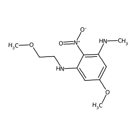 CNc1cc(OC)cc(NCCOC)c1[N+](=O)[O-]